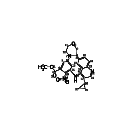 COC(=O)c1cc(N2CCOCC2)cc(Nc2c(C3CC3)cnc3ccccc23)c1[N+](=O)[O-]